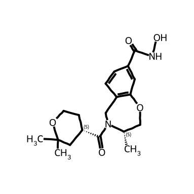 C[C@H]1COc2cc(C(=O)NO)ccc2CN1C(=O)[C@H]1CCOC(C)(C)C1